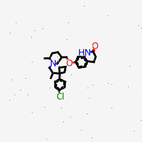 CC1CCC(COc2ccc3c(c2)NC(=O)CC3)CN1CC(C)C1(c2ccc(Cl)cc2)CCC1